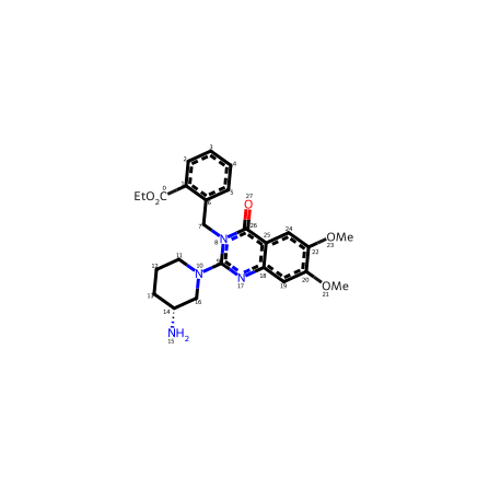 CCOC(=O)c1ccccc1Cn1c(N2CCC[C@@H](N)C2)nc2cc(OC)c(OC)cc2c1=O